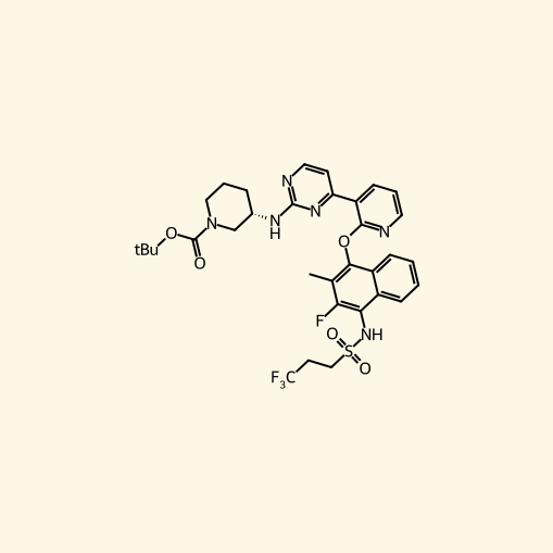 Cc1c(F)c(NS(=O)(=O)CCC(F)(F)F)c2ccccc2c1Oc1ncccc1-c1ccnc(N[C@H]2CCCN(C(=O)OC(C)(C)C)C2)n1